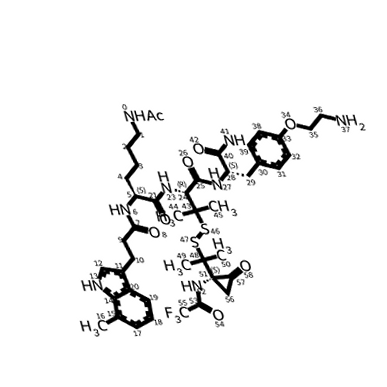 CC(=O)NCCCC[C@H](NC(=O)CCc1c[nH]c2c(C)cccc12)C(=O)N[C@H](C(=O)N[C@@H](Cc1ccc(OCCN)cc1)C(N)=O)C(C)(C)SSC(C)(C)[C@]1(NC(=O)C(F)(F)F)CC1=O